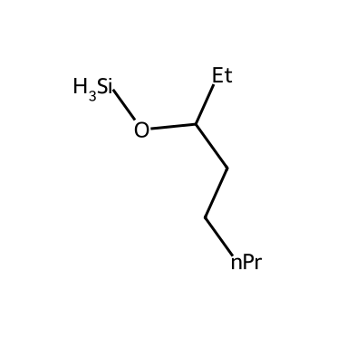 CCCCCC(CC)O[SiH3]